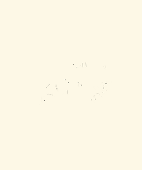 O=[N+]([O-])c1ccc(CN2CCN(CCS(=O)(=O)OS(=O)(=O)CCBr)CC2)c(C(F)(F)F)c1.[NaH]